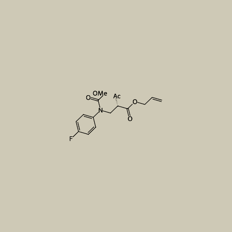 C=CCOC(=O)[C@H](CN(C(=O)OC)c1ccc(F)cc1)C(C)=O